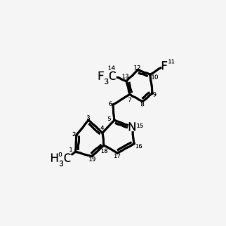 Cc1ccc2c(Cc3ccc(F)cc3C(F)(F)F)nccc2c1